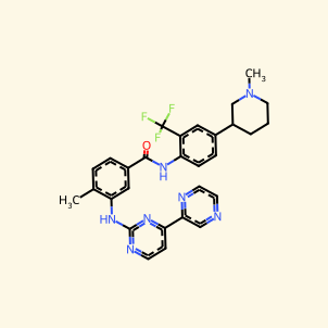 Cc1ccc(C(=O)Nc2ccc(C3CCCN(C)C3)cc2C(F)(F)F)cc1Nc1nccc(-c2cnccn2)n1